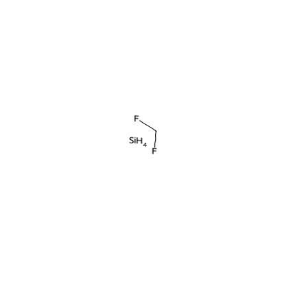 FCF.[SiH4]